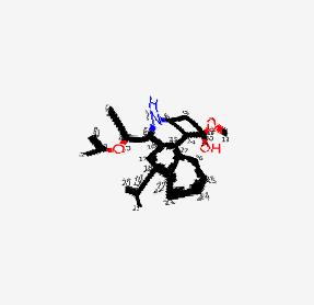 C=C(C)O/C(C)=C1/NC2CC(O)(OC)C2c2c1cc(C(C)C)c1ccccc21